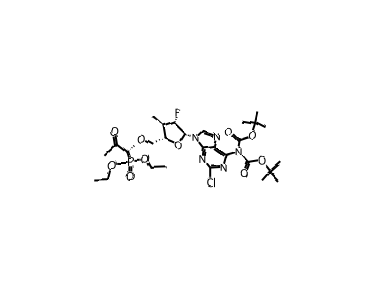 CCOP(=O)(OCC)[C@@H](OC[C@H]1O[C@@H](n2cnc3c(N(C(=O)OC(C)(C)C)C(=O)OC(C)(C)C)nc(Cl)nc32)[C@@H](F)[C@@H]1C)C(C)=O